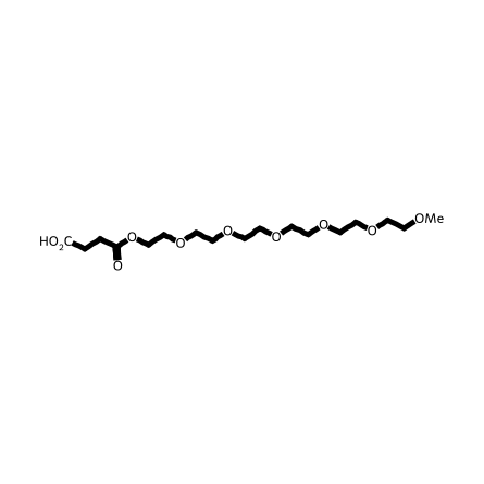 COCCOCCOCCOCCOCCOCCOC(=O)CCC(=O)O